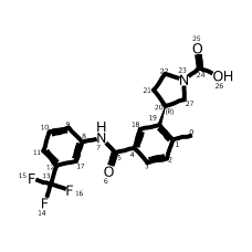 Cc1ccc(C(=O)Nc2cccc(C(F)(F)F)c2)cc1[C@H]1CCN(C(=O)O)C1